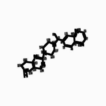 CC(c1ccc2nccnc2c1)N1CCN(c2ncc3c(n2)CCNC3)CC1